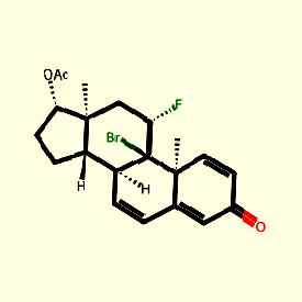 CC(=O)O[C@H]1CC[C@H]2[C@@H]3C=CC4=CC(=O)C=C[C@]4(C)C3(Br)[C@@H](F)C[C@]12C